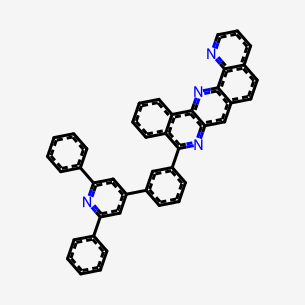 c1ccc(-c2cc(-c3cccc(-c4nc5cc6ccc7cccnc7c6nc5c5ccccc45)c3)cc(-c3ccccc3)n2)cc1